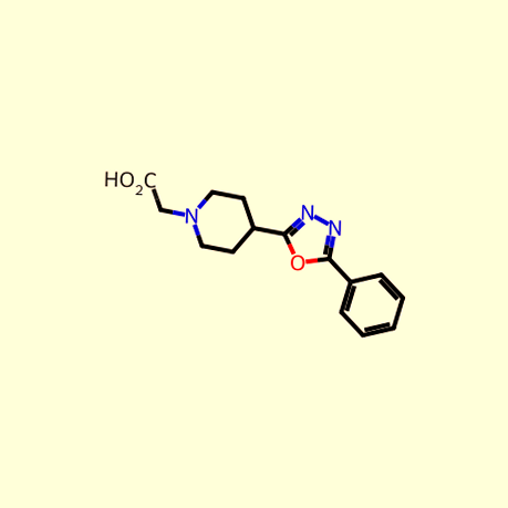 O=C(O)CN1CCC(c2nnc(-c3ccccc3)o2)CC1